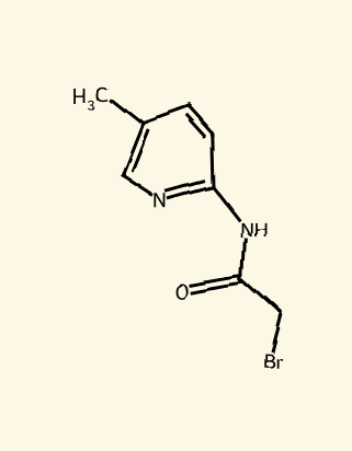 Cc1ccc(NC(=O)CBr)nc1